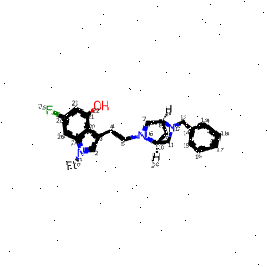 CCn1cc(CCN2C[C@@H]3C[C@H]2CN3Cc2ccccc2)c2c(O)cc(F)cc21